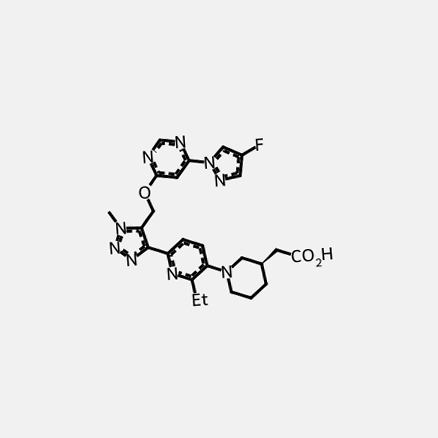 CCc1nc(-c2nnn(C)c2COc2cc(-n3cc(F)cn3)ncn2)ccc1N1CCC[C@H](CC(=O)O)C1